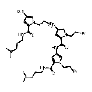 CC(C)CCn1cc(NC(=O)c2cc([N+](=O)[O-])cn2CCC(C)C)cc1C(=O)NCCCN(C)C.CC(C)CCn1cc([N+](=O)[O-])cc1C(=O)NCCCN(C)C